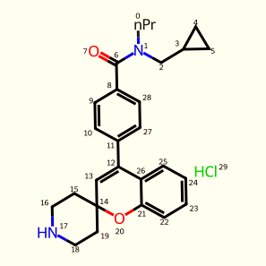 CCCN(CC1CC1)C(=O)c1ccc(C2=CC3(CCNCC3)Oc3ccccc32)cc1.Cl